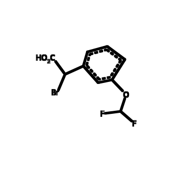 O=C(O)C(Br)c1cccc(OC(F)F)c1